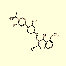 CCCC1CC(OC/C(C(=N)c2ccccc2OC(F)(F)F)=C(/O)C2CC2)CCN1c1ccc(C(C)=N)c(F)c1